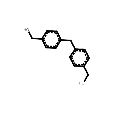 OCc1ccc([C]c2ccc(CO)cc2)cc1